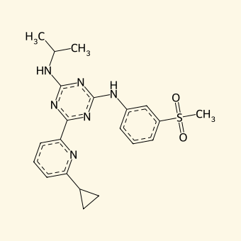 CC(C)Nc1nc(Nc2cccc(S(C)(=O)=O)c2)nc(-c2cccc(C3CC3)n2)n1